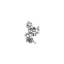 Cc1ccc(Cl)c2c(C(=O)Nc3cccc(S(N)(=O)=O)c3)n(C[C@H]3CCCCO3)nc12